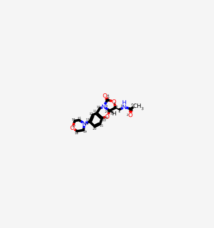 CC(=O)NC[C@@H]1OC(=O)N2Cc3cc(N4CCOCC4)ccc3O[C@@H]12